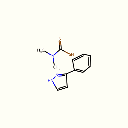 CN(C)C(=S)S.c1ccc(-c2cc[nH]n2)cc1